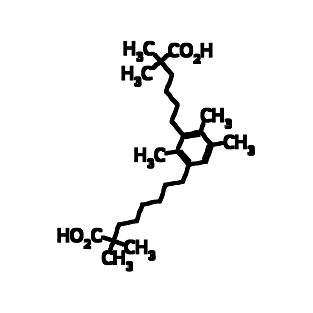 Cc1cc(CCCCCCC(C)(C)C(=O)O)c(C)c(CCCCC(C)(C)C(=O)O)c1C